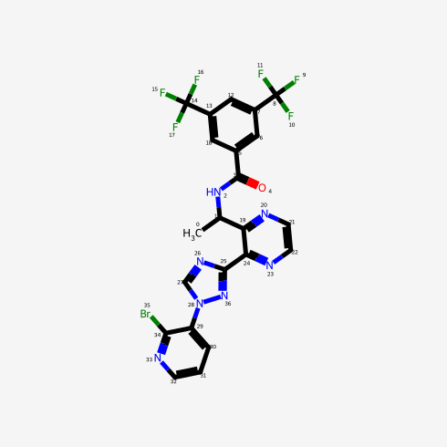 CC(NC(=O)c1cc(C(F)(F)F)cc(C(F)(F)F)c1)c1nccnc1-c1ncn(-c2cccnc2Br)n1